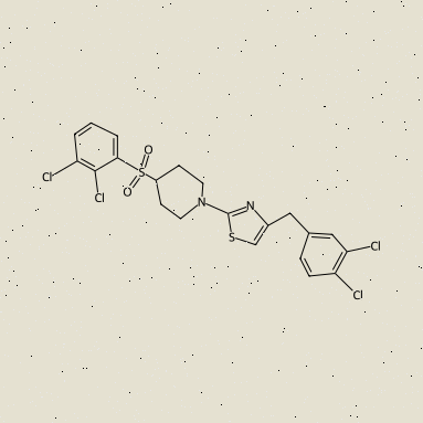 O=S(=O)(c1cccc(Cl)c1Cl)C1CCN(c2nc(Cc3ccc(Cl)c(Cl)c3)cs2)CC1